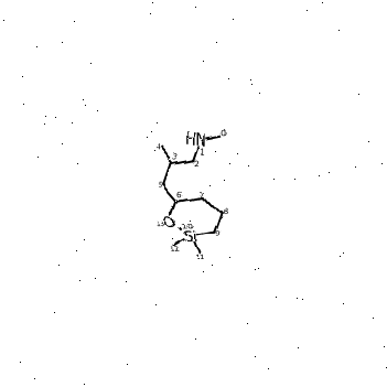 CNCC(C)CC1CCC[Si](C)(C)O1